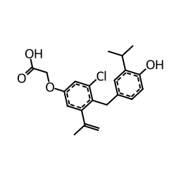 C=C(C)c1cc(OCC(=O)O)cc(Cl)c1Cc1ccc(O)c(C(C)C)c1